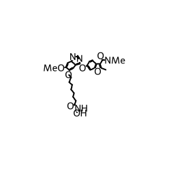 CNC(=O)c1c(C)oc2cc(Oc3ncnc4cc(OC)c(OCCCCCCCC(=O)NO)cc34)ccc12